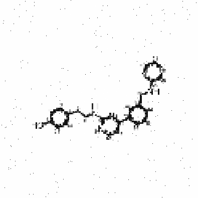 Oc1ccc(CCNc2nccc(-c3cccc(CNc4cnccn4)c3)n2)cc1